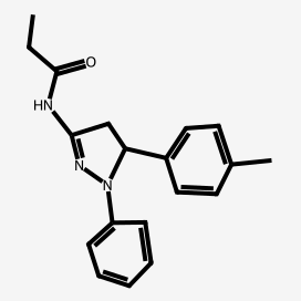 CCC(=O)NC1=NN(c2ccccc2)C(c2ccc(C)cc2)C1